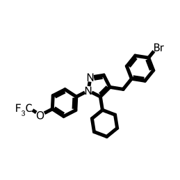 FC(F)(F)Oc1ccc(-n2ncc(Cc3ccc(Br)cc3)c2C2CCCCC2)cc1